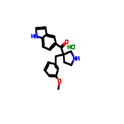 COc1cccc(CC2(C(=O)c3ccc4[nH]ccc4c3)CCNC2)c1.Cl